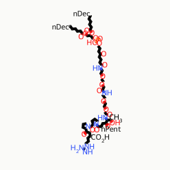 CCCCCCCCCCCCCCCC(=O)OCC(COP(=O)(O)OCCCC(=O)CCCC(=O)NCCOCCOCC(=O)NCCOCCOCC(=O)NC(C(=O)CC(CCCCC)C(=O)N1CCCC1C(=O)N1CCCC1C(=O)CC(CCCNC(=N)N)C(=O)O)C(C)O)OC(=O)CCCCCCCCCCCCCCC